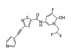 O=C(NC1=CN(CC(F)F)C(O)C(F)=C1)c1cc(C#Cc2ccncc2)ns1